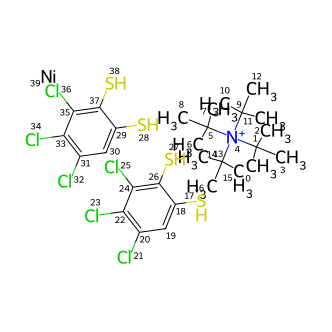 CC(C)(C)[N+](C(C)(C)C)(C(C)(C)C)C(C)(C)C.Sc1cc(Cl)c(Cl)c(Cl)c1S.Sc1cc(Cl)c(Cl)c(Cl)c1S.[Ni]